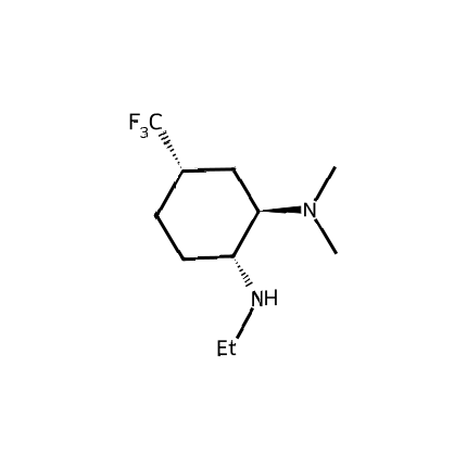 CCN[C@@H]1CC[C@H](C(F)(F)F)C[C@H]1N(C)C